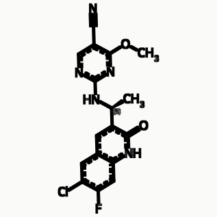 COc1nc(N[C@@H](C)c2cc3cc(Cl)c(F)cc3[nH]c2=O)ncc1C#N